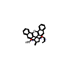 C=C1C/C(=C\C=C/C)C2(/C1=C/CCC)c1ccc3ccccc3c1Oc1c2ccc2ccccc12